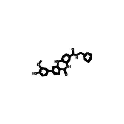 COc1cc(-c2ccc3c(c2)Nc2ccc(C(=O)NCc4ccccn4)cc2NC3=O)ccc1O